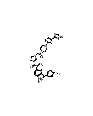 CCN(C(=O)[C@@H]1CCN(CC(=O)N2CCN(c3ncc(-c4ncn(C)n4)s3)CC2)C1)c1ccc2[nH]nc(-c3ccc(OC(C)C)cc3)c2n1